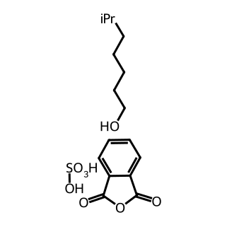 CC(C)CCCCCO.O=C1OC(=O)c2ccccc21.O=S(=O)(O)O